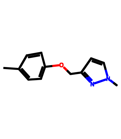 Cc1ccc(OCc2ccn(C)n2)cc1